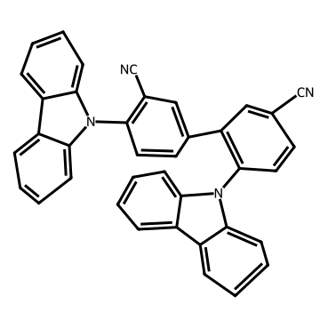 N#Cc1ccc(-n2c3ccccc3c3ccccc32)c(-c2ccc(-n3c4ccccc4c4ccccc43)c(C#N)c2)c1